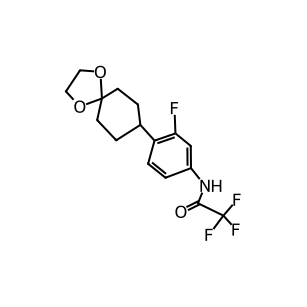 O=C(Nc1ccc(C2CCC3(CC2)OCCO3)c(F)c1)C(F)(F)F